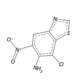 Nc1c([N+](=O)[O-])cc2ncsc2c1Cl